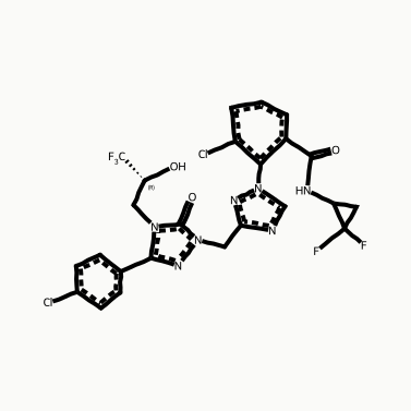 O=C(NC1CC1(F)F)c1cccc(Cl)c1-n1cnc(Cn2nc(-c3ccc(Cl)cc3)n(C[C@@H](O)C(F)(F)F)c2=O)n1